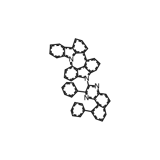 c1ccc(-c2nc3c(ccc4cccc(-c5ccccc5)c43)nc2-n2c3cccc4c5cccc6c7ccccc7n(c7cccc2c7c43)c56)cc1